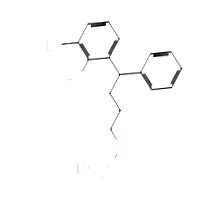 CCc1cccc(C(CCCOC(=O)O)c2ccccc2)c1CC